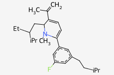 C=C(C)C1=CC=C(c2cc(F)cc(CCC(C)C)c2)N(C)C1CC(CC)C(C)C